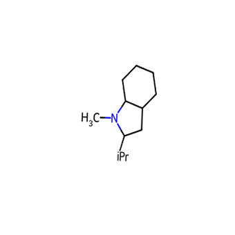 CC(C)C1CC2CCCCC2N1C